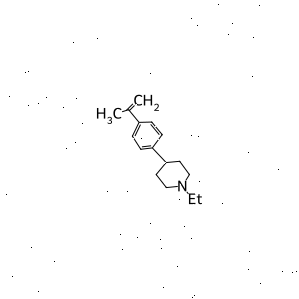 C=C(C)c1ccc(C2CCN(CC)CC2)cc1